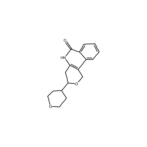 O=c1[nH]c2c(c3ccccc13)COC(C1CCOCC1)C2